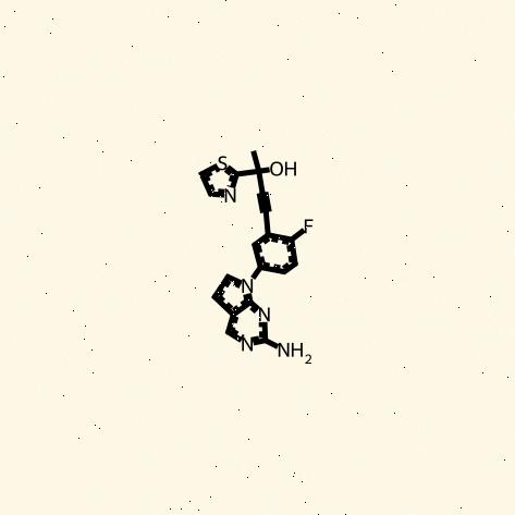 CC(O)(C#Cc1cc(-n2ccc3cnc(N)nc32)ccc1F)c1nccs1